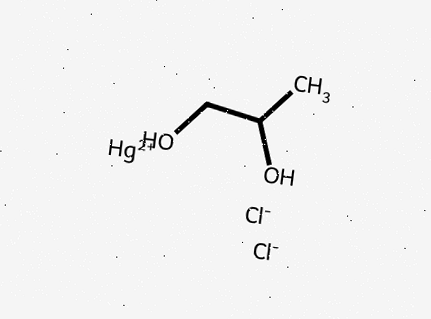 CC(O)CO.[Cl-].[Cl-].[Hg+2]